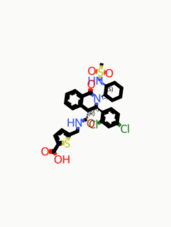 CS(=O)(=O)N[C@H]1CCCC[C@@H]1N1C(=O)c2ccccc2[C@@H](C(=O)NCc2ccc(C(=O)O)s2)[C@@H]1c1ccc(Cl)cc1Cl